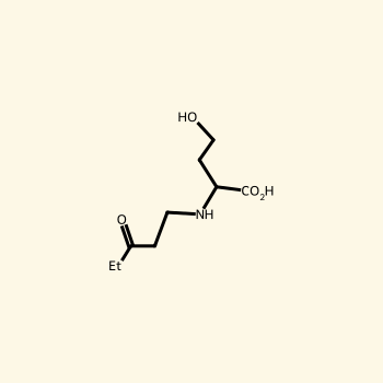 CCC(=O)CCNC(CCO)C(=O)O